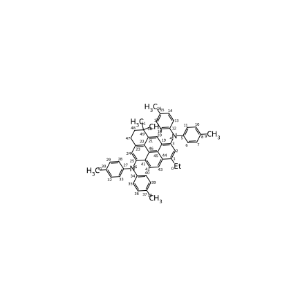 CCc1cc(N(c2ccc(C)cc2)c2ccc(C)cc2)c2cc3c4c(cc(N(c5ccc(C)cc5)c5ccc(C)cc5)c5ccc1c2c54)CCC3(C)C